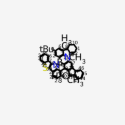 CC(C)(C)c1cc2c3c(c1)C1(C)CCCCC1(C)N3c1cc3c(c4c1B2n1c2c-4cccc2c2sc4ccccc4c21)C(C)(C)c1ccccc1-3